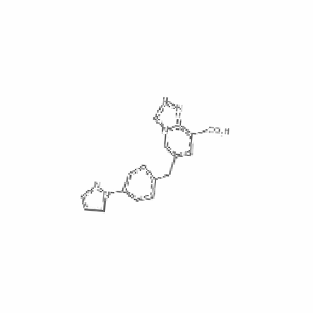 O=C(O)c1cc(Cc2ccc(-n3cccn3)cc2)cn2cnnc12